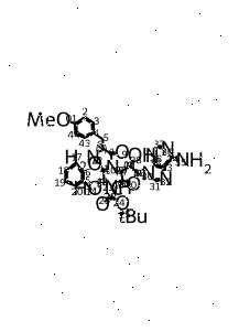 COc1ccc(C[C@H](N)C(=O)N(C(=O)[C@@H](Cc2ccccc2)NC(=O)OC(C)(C)C)[C@H]2[C@@H](O)[C@H](n3cnc4c(N)ncnc43)O[C@@H]2C(=O)O)cc1